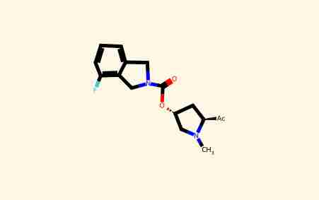 CC(=O)[C@@H]1C[C@@H](OC(=O)N2Cc3cccc(F)c3C2)CN1C